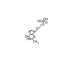 Cc1nc2c(ncn2COCCOP(=O)(O)O)c(=O)[nH]1